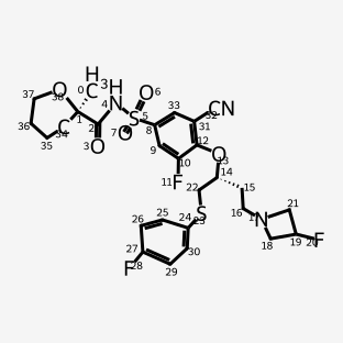 C[C@]1(C(=O)NS(=O)(=O)c2cc(F)c(O[C@H](CCN3CC(F)C3)CSc3ccc(F)cc3)c(C#N)c2)CCCCO1